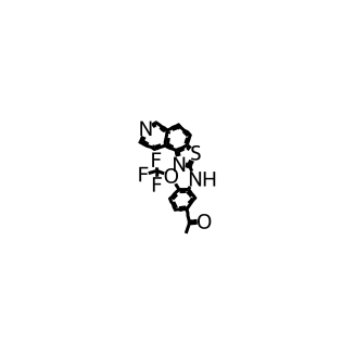 CC(=O)c1ccc(OC(F)(F)F)c(Nc2nc3c(ccc4cnccc43)s2)c1